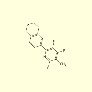 Cc1c(F)nc(-c2ccc3c(c2)CCCC3)c(F)c1F